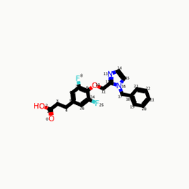 O=C(O)CCc1cc(F)c(OCc2nccn2Cc2ccccc2)c(F)c1